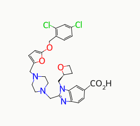 O=C(O)c1ccc2nc(CN3CCN(Cc4ccc(OCc5ccc(Cl)cc5Cl)o4)CC3)n(C[C@@H]3CCO3)c2c1